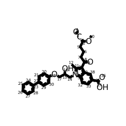 COC(=C=O)CCCC(=O)c1c(C)n(CC(O)COc2ccc(-c3ccccc3)cc2)c2ccc(C(=O)O)cc12